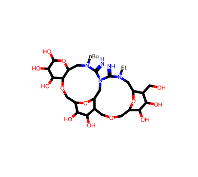 CCCCN1CC2OC(O)C(O)C(O)C2OCC2OC3CN(C(=N)N(CC)CC4OC(COCC3C(O)C2O)C(O)C(O)C4CO)C1=N